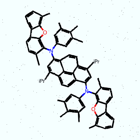 Cc1cc(N(c2cc(C(C)C)c3ccc4c(N(c5cc(C)c(C)c(C)c5)c5c(C)ccc6c5oc5c(C)cccc56)cc(C(C)C)c5ccc2c3c54)c2c(C)ccc3c2oc2c(C)cccc23)cc(C)c1C